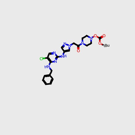 CC(C)(C)OC(=O)ON1CCN(C(=O)Cn2cc(Nc3ncc(Cl)c(NCc4ccccc4)n3)cn2)CC1